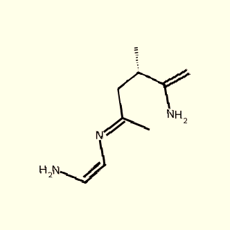 C=C(N)[C@@H](C)C/C(C)=N/C=C\N